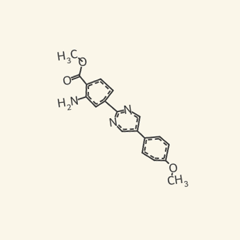 COC(=O)c1ccc(-c2ncc(-c3ccc(OC)cc3)cn2)cc1N